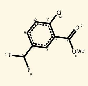 COC(=O)c1cc(C(F)F)ccc1Cl